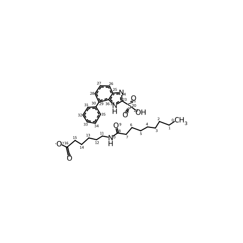 CCCCCCCCC(=O)NCCCCCC([O])=O.O=S(=O)(O)c1nc2cccc(-c3ccccc3)c2[nH]1